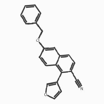 N#Cc1ccc2cc(OCc3ccccc3)ccc2c1-c1ccoc1